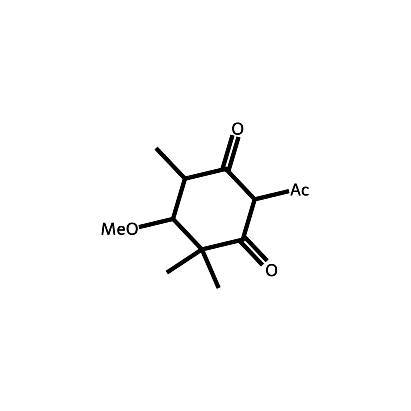 COC1C(C)C(=O)C(C(C)=O)C(=O)C1(C)C